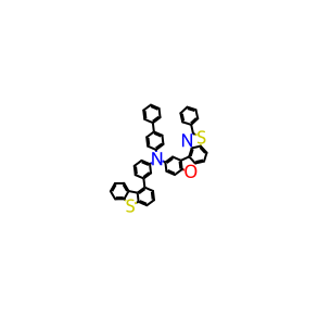 c1ccc(-c2ccc(N(c3cccc(-c4cccc5sc6ccccc6c45)c3)c3ccc4oc5ccc6sc(-c7ccccc7)nc6c5c4c3)cc2)cc1